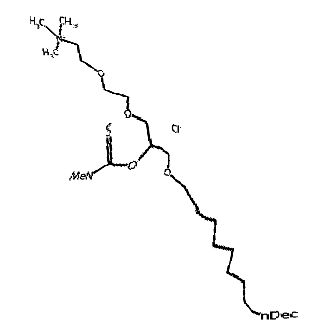 CCCCCCCCCCCCCCCCCCOCC(COCCOCC[N+](C)(C)C)OC(=S)NC.[Cl-]